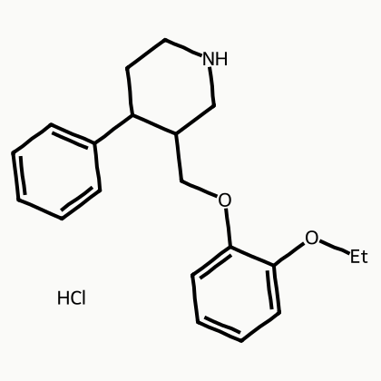 CCOc1ccccc1OCC1CNCCC1c1ccccc1.Cl